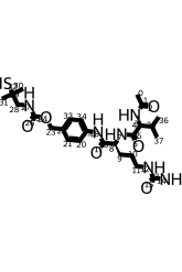 CC(=O)NC(C(=O)N[C@@H](CCCNC(N)=O)C(=O)Nc1ccc(COC(=O)NCC(C)(C)S)cc1)C(C)C